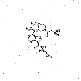 CCNNC(=O)n1ccc2c(N(C)[C@H]3CN(C(=O)CC#N)CC[C@H]3C)ncnc21.Cl